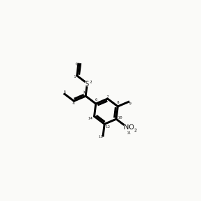 C=CS/C(=C\C)c1cc(C)c([N+](=O)[O-])c(C)c1